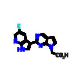 O=C(O)Cn1ccc2cnc(-c3c[nH]c4ncc(F)cc34)nc21